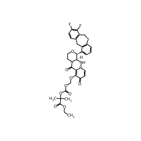 CCOC(=O)C(C)(C)OC(=O)OCOc1c2n(ccc1=O)N[C@@H]1[C@H](c3cccc4c3Cc3ccc(F)c(F)c3CS4)OCCN1C2=O